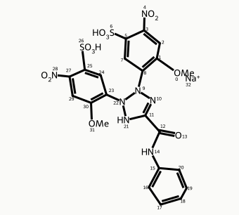 COc1cc([N+](=O)[O-])c(S(=O)(=O)O)cc1N1N=C(C(=O)Nc2ccccc2)NN1c1cc(S(=O)(=O)O)c([N+](=O)[O-])cc1OC.[Na+]